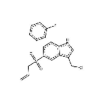 C=CCS(=O)(=O)c1ccc2[nH]cc(CCl)c2c1.Fc1ccccc1